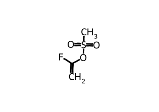 C=C(F)OS(C)(=O)=O